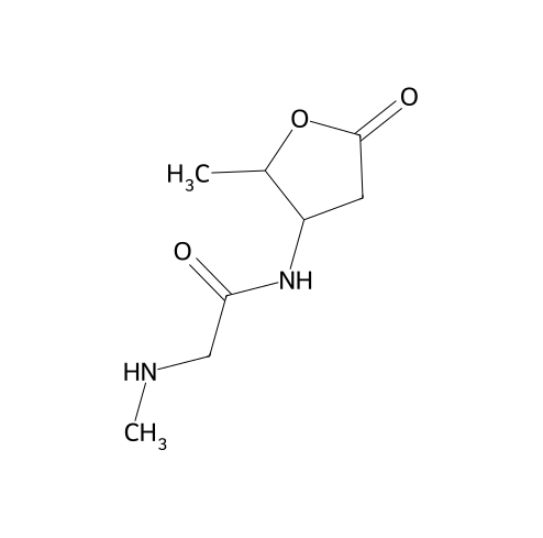 CNCC(=O)NC1CC(=O)OC1C